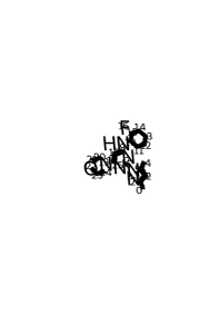 Cc1cc(C)n(-c2nc(N[C@@H]3CCCC[C@H]3F)cc(N3CCOCC3)n2)n1